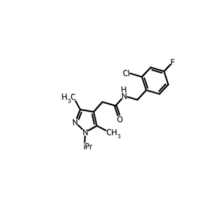 Cc1nn(C(C)C)c(C)c1CC(=O)NCc1ccc(F)cc1Cl